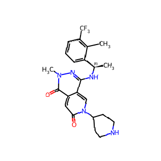 Cc1c([C@@H](C)Nc2nn(C)c(=O)c3cc(=O)n(C4CCNCC4)cc23)cccc1C(F)(F)F